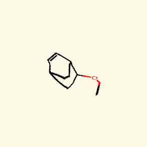 COC1CC2C=CC1C2